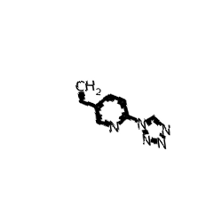 C=Cc1ccc(-n2cnnn2)nc1